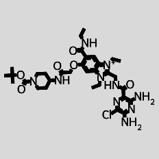 CCNC(=O)c1cc2c(cc1OCC(=O)NC1CCN(C(=O)OC(C)(C)C)CC1)n(CC)c(CNC(=O)c1nc(Cl)c(N)nc1N)[n+]2CC